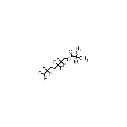 CCC(C)(C)C(=O)OCC(F)(F)C(F)(F)CCC(F)(F)C(F)F